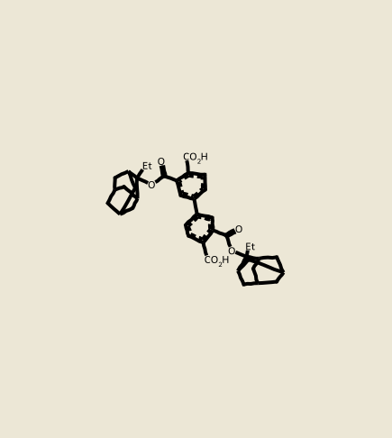 CCC1(OC(=O)c2cc(-c3ccc(C(=O)O)c(C(=O)OC4(CC)C5CC6CC(C5)CC4C6)c3)ccc2C(=O)O)C2CC3CC(C2)CC1C3